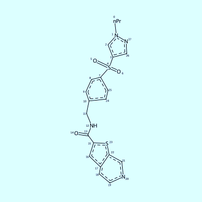 CCCn1cc(S(=O)(=O)c2ccc(CNC(=O)c3cc4ccncc4s3)cc2)cn1